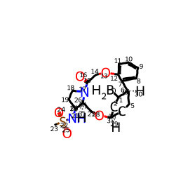 BC1C[C@H]2CC[C@@H]1c1ccccc1OCC(=O)N1CC[C@H](NS(C)(=O)=O)[C@@H]1CO2